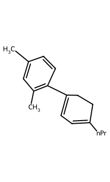 CCCC1=CC=C(c2ccc(C)cc2C)CC1